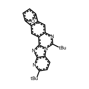 CC(C)(C)c1ccc2c(n1)nc1c3cc4c5ccc(o5)c4cc3nc(C(C)(C)C)n21